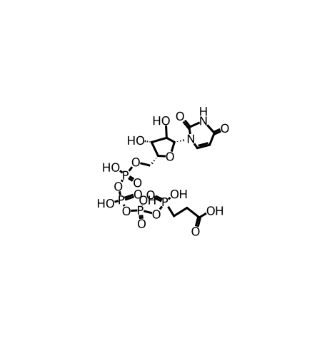 O=C(O)CCP(=O)(O)OP(=O)(O)OP(=O)(O)OP(=O)(O)OC[C@H]1O[C@@H](n2ccc(=O)[nH]c2=O)C(O)[C@H]1O